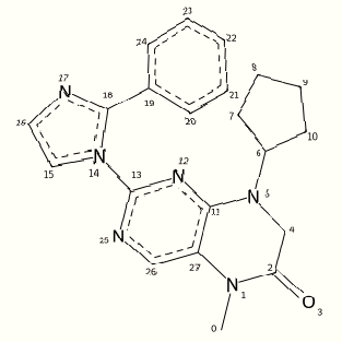 CN1C(=O)CN(C2CCCC2)c2nc(-n3ccnc3-c3ccccc3)ncc21